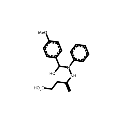 C=C(CCC(=O)O)NN(c1ccccc1)C(O)c1ccc(OC)cc1